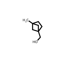 CC12CCC(CO)(C1)C2